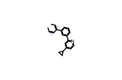 C/C=C\C(=C/C)c1cccc(-c2cc(C3CC3)ccn2)c1